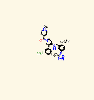 COc1ccc(-n2nnnc2C(F)(F)F)cc1CN[C@@H]1CCN(C(=O)C2CCN(C(C)=O)CC2)C[C@H]1c1ccccc1.Cl